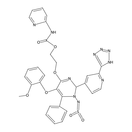 COc1ccccc1OC1=C(c2ccccc2)N(N=S(=O)=O)C(c2ccnc(-c3nnn[nH]3)c2)N=C1OCCOC(=O)Nc1ccccn1